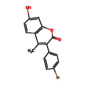 Cc1c(-c2ccc(Br)cc2)c(=O)oc2cc(O)ccc12